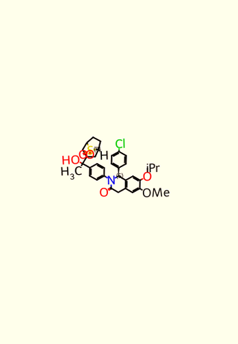 COc1cc2c(cc1OC(C)C)[C@H](c1ccc(Cl)cc1)N(c1ccc(C(C)(O)C3CC4CC[C@H](C3)S4(=O)=O)cc1)C(=O)C2